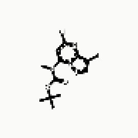 CN(C(=O)OC(C)(C)C)c1cc(Cl)nc2c(I)cnn12